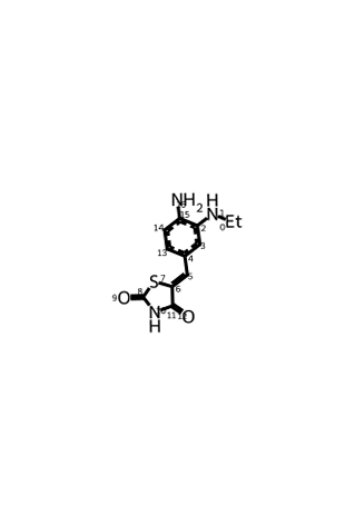 CCNc1cc(/C=C2\SC(=O)NC2=O)ccc1N